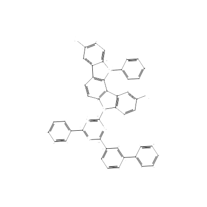 CC(C)(C)c1ccc2c(c1)c1c(ccc3c4cc(C(C)(C)C)ccc4n(-c4ccccc4)c31)n2-c1nc(-c2ccccc2)nc(-c2cccc(-c3ccccc3)c2)n1